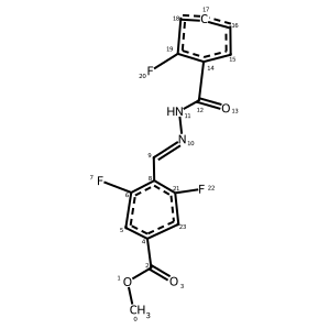 COC(=O)c1cc(F)c(/C=N/NC(=O)c2ccccc2F)c(F)c1